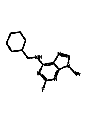 CC(C)n1cnc2c(NCC3CCCCC3)nc(F)nc21